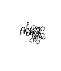 CC(C)(C)[Si](OC[C@H]1O[C@@H](n2cc(CF)c(=O)[nH]c2=O)[C@@H](O)[C@@H]1O[Si](c1ccccc1)(c1ccccc1)C(C)(C)C)(c1ccccc1)c1ccccc1